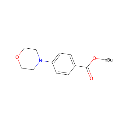 CCCCOC(=O)c1ccc(N2CCOCC2)cc1